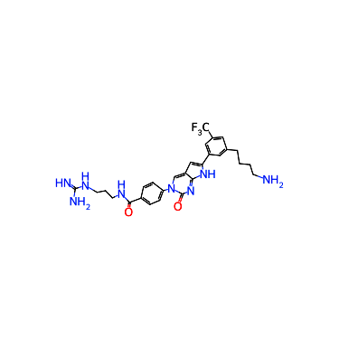 N=C(N)NCCCNC(=O)c1ccc(-n2cc3cc(-c4cc(CCCCN)cc(C(F)(F)F)c4)[nH]c3nc2=O)cc1